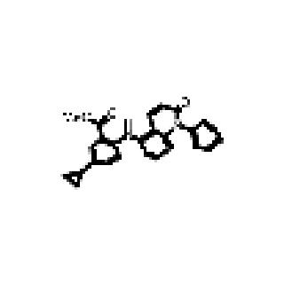 COC(=O)c1cc(C2CC2)ccc1Nc1cccc2c1ccc(=O)n2-c1ccccc1